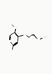 CCCOCCNc1cc(Cl)ncc1NC(=O)O